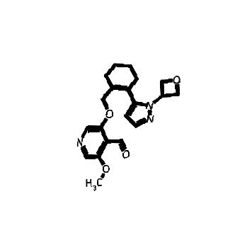 COc1cncc(OCC2=C(c3ccnn3C3COC3)CCCC2)c1C=O